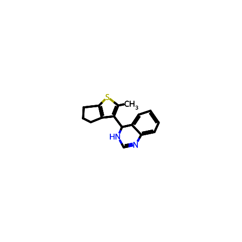 Cc1sc2c(c1C1NC=Nc3ccccc31)CCC2